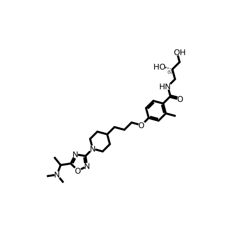 Cc1cc(OCCCC2CCN(c3noc(C(C)N(C)C)n3)CC2)ccc1C(=O)NC[C@H](O)CO